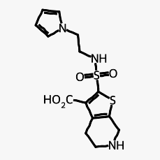 O=C(O)c1c(S(=O)(=O)NCCn2cccc2)sc2c1CCNC2